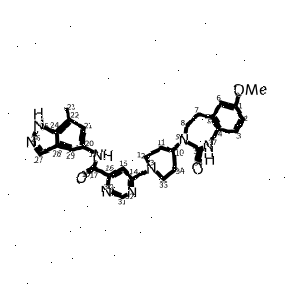 COc1ccc2c(c1)CCN(C1CCN(c3cc(C(=O)Nc4cc(C)c5[nH]ncc5c4)ncn3)CC1)C(=O)N2